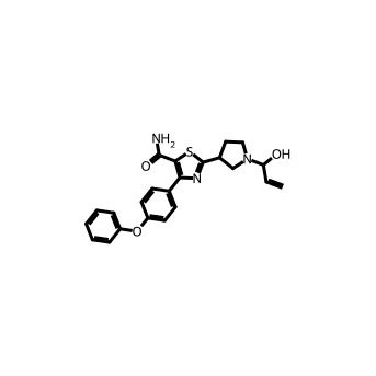 C=CC(O)N1CCC(c2nc(-c3ccc(Oc4ccccc4)cc3)c(C(N)=O)s2)C1